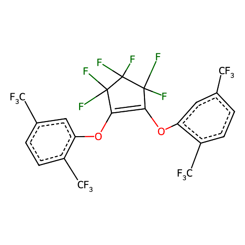 FC(F)(F)c1ccc(C(F)(F)F)c(OC2=C(Oc3cc(C(F)(F)F)ccc3C(F)(F)F)C(F)(F)C(F)(F)C2(F)F)c1